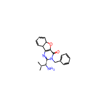 CC(C)C(N)c1nc2c(c(=O)n1Cc1ccccc1)OC1C=CC=CC21